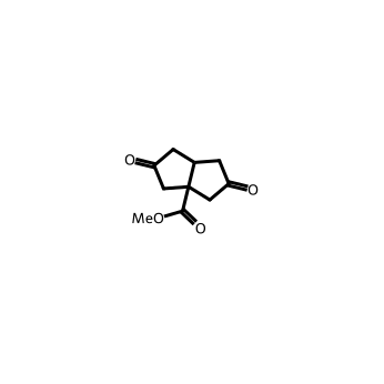 COC(=O)C12CC(=O)CC1CC(=O)C2